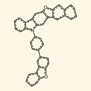 c1ccc2cc3c(cc2c1)oc1cc2c4ccccc4n(-c4ccc(-c5ccc6oc7ccccc7c6c5)cc4)c2cc13